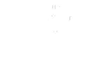 CC12CC3(C)CC(C)(C1)CC(COC(=O)C(F)(F)S(=O)(=O)O)(C2)C3